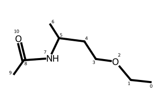 CCOCCC(C)NC(C)=O